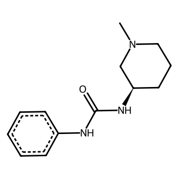 CN1CCC[C@@H](NC(=O)Nc2ccccc2)C1